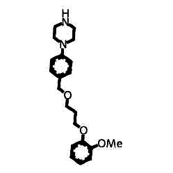 COc1ccccc1OCCCOCc1ccc(N2CCNCC2)cc1